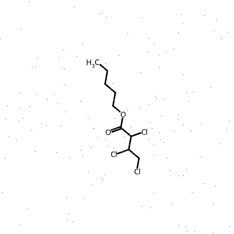 CCCCCOC(=O)C(Cl)C(Cl)CCl